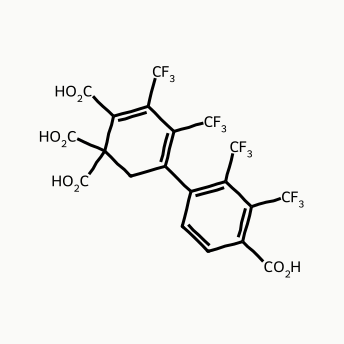 O=C(O)C1=C(C(F)(F)F)C(C(F)(F)F)=C(c2ccc(C(=O)O)c(C(F)(F)F)c2C(F)(F)F)CC1(C(=O)O)C(=O)O